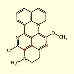 COc1nc2c(cc1N1CC=Cc3cccc(-c4cccc(Cl)n4)c31)CN(C)CC2